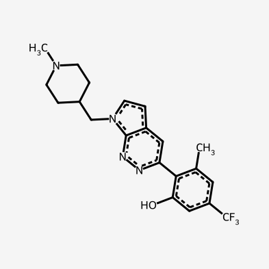 Cc1cc(C(F)(F)F)cc(O)c1-c1cc2ccn(CC3CCN(C)CC3)c2nn1